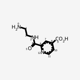 NCCNC(=O)c1cc(C(=O)O)ccn1